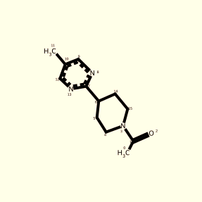 CC(=O)N1CCC(c2ncc(C)cn2)CC1